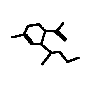 [CH2]CCC(C)C1C=C(C)CCC1C(=C)C